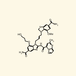 COc1cc(C(N)=O)cc2c1N(C/C=C/Cn1c(NC(=O)c3cc(C)nc4ccnn34)nc3cc(C(N)=O)cc(OCCCO)c31)CS2